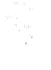 COC(=O)CC[C@H](NC(=O)c1cn(C(c2ccccc2)(c2ccccc2)c2ccccc2)c(I)n1)C(=O)OC